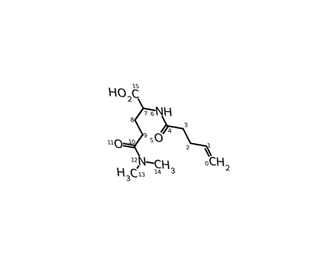 C=CCCC(=O)NC(CCC(=O)N(C)C)C(=O)O